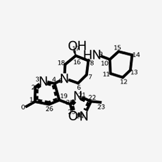 Cc1cnc(N2CCC(NC3CCCCC3)[C@H](O)C2)c(-c2nc(C)no2)c1